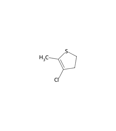 CC1=C(Cl)CCS1